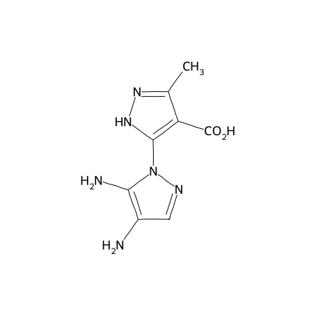 Cc1n[nH]c(-n2ncc(N)c2N)c1C(=O)O